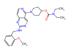 CCN(CC)C(=O)OC1CCN(c2nccc3nc(NCc4ccccc4OC)ncc23)CC1